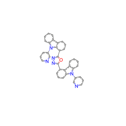 c1cncc(-n2c3ccccc3c3c(-c4nnc(-c5cccc6c7ccccc7n(-c7cccnc7)c56)o4)cccc32)c1